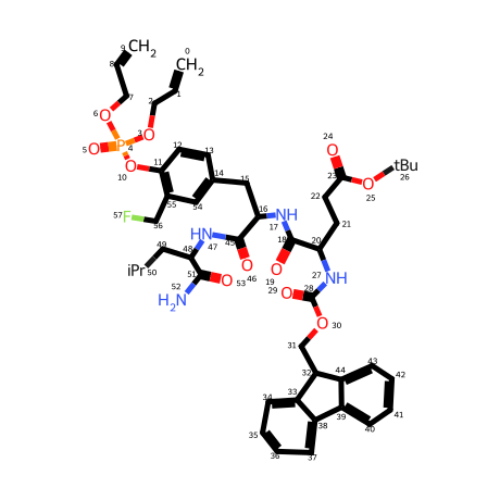 C=CCOP(=O)(OCC=C)Oc1ccc(CC(NC(=O)C(CCC(=O)OC(C)(C)C)NC(=O)OCC2c3ccccc3-c3ccccc32)C(=O)NC(CC(C)C)C(N)=O)cc1CF